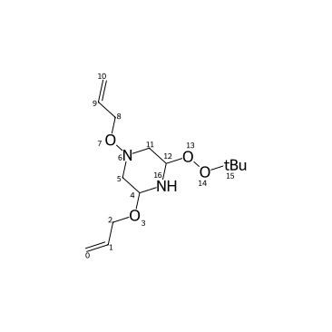 C=CCOC1CN(OCC=C)CC(OOC(C)(C)C)N1